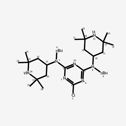 CCCCN(c1nc(Cl)nc(N(CCCC)C2CC(C)(C)NC(C)(C)C2)n1)C1CC(C)(C)NC(C)(C)C1